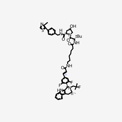 Cc1ncsc1-c1ccc(CNC(=O)[C@@H]2C[C@@H](O)CN2C(=O)[C@@H](NC(=O)CCCCCCNC(=O)/C=C/c2cc(F)c([C@@H]3c4[nH]c5ccccc5c4C[C@@H](C)N3CC(C)(C)F)c(F)c2)C(C)(C)C)cc1